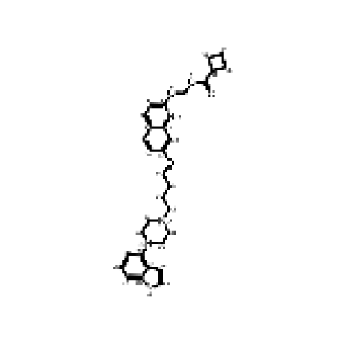 O=C(OCOc1ccc2ccc(OCCCCN3CCN(c4cccc5sccc45)CC3)cc2n1)C1CCC1